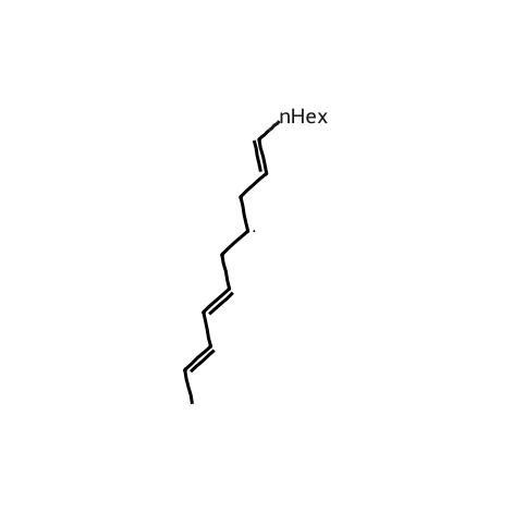 C/C=C/C=C/C[CH]C/C=C/CCCCCC